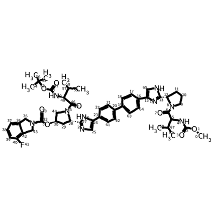 COC(=O)NC(C(=O)N1CCC[C@H]1c1nc(-c2ccc(-c3ccc(-c4cnc([C@@H]5C[C@@H](OC(=O)N6Cc7cccc(F)c7C6)CN5C(=O)[C@@H](NC(=O)OC(C)(C)C)C(C)C)[nH]4)cc3)cc2)c[nH]1)C(C)C